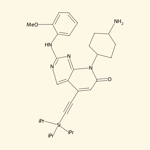 COc1ccccc1Nc1ncc2c(C#C[Si](C(C)C)(C(C)C)C(C)C)cc(=O)n(C3CCC(N)CC3)c2n1